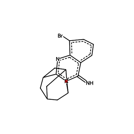 N=c1c2cccc(Br)c2nc2n1C1CC3CC(CC2C3)C1